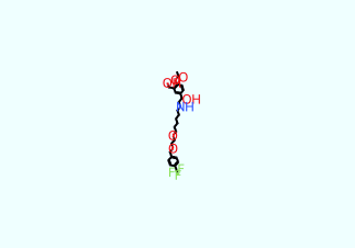 CC(=O)Oc1ccc([C@@H](O)CNCCCCCCOCCOCc2ccc(C(F)(F)F)cc2)cc1CO